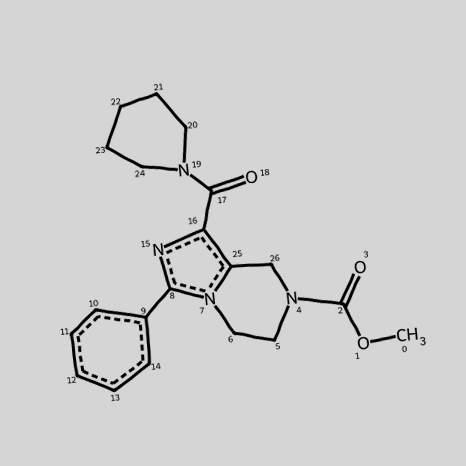 COC(=O)N1CCn2c(-c3ccccc3)nc(C(=O)N3CCCCC3)c2C1